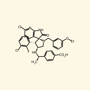 CCOc1cccc(CN2C[C@@H](N[C@H](C)c3ccc(C(=O)O)cc3)[C@H](c3cccc(Cl)c3F)[C@]23C(=O)Nc2nc(Cl)ccc23)c1